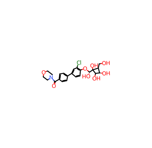 O=C(c1ccc(-c2ccc(O[C@@H](O)C3(O)C(O)[C@H](O)C3CO)c(Cl)c2)cc1)N1CCOCC1